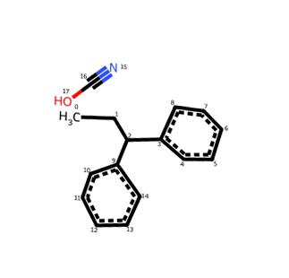 CCC(c1ccccc1)c1ccccc1.N#CO